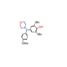 COc1ccc(C(c2cc(C(C)(C)C)c(O)c(C(C)(C)C)c2)N2CCOCC2)cc1